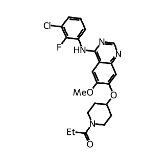 CCC(=O)N1CCC(Oc2cc3ncnc(Nc4cccc(Cl)c4F)c3cc2OC)CC1